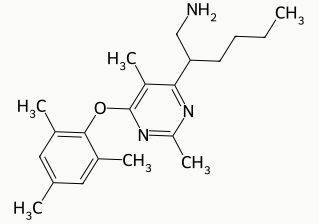 CCCCC(CN)c1nc(C)nc(Oc2c(C)cc(C)cc2C)c1C